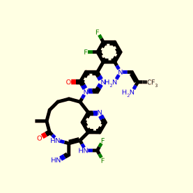 CC1CCCC(n2cnc(-c3c(N(N)/C=C(\N)C(F)(F)F)ccc(F)c3F)cc2=O)c2cc(ccn2)/C(NC(F)F)=C(/C=N)NC1=O